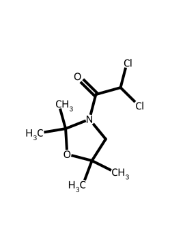 CC1(C)CN(C(=O)C(Cl)Cl)C(C)(C)O1